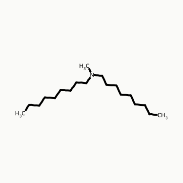 CCCCCCCCCN(C)CCCCCCCCC